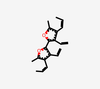 C=Cc1c(-c2oc(C)c(/C=C\C)c2C=C)oc(C)c1/C=C\C